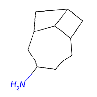 NC1CCC2CC3CC(C1)C23